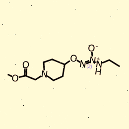 CCN/[N+]([O-])=N/OC1CCN(CC(=O)OC)CC1